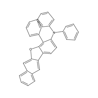 c1ccc(-c2c(N(c3ccccc3)c3ccccc3)ccc3c2oc2cc4ccccc4cc23)cc1